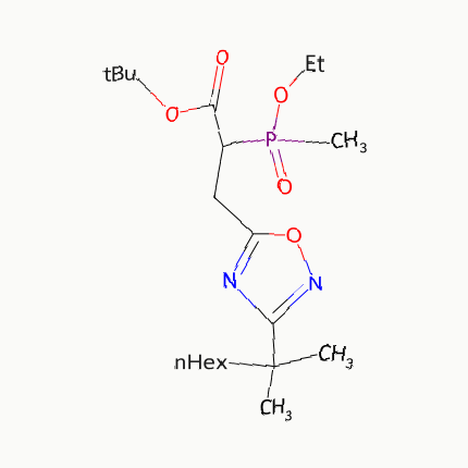 CCCCCCC(C)(C)c1noc(CC(C(=O)OC(C)(C)C)P(C)(=O)OCC)n1